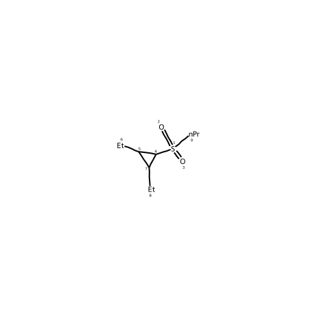 CCCS(=O)(=O)C1C(CC)C1CC